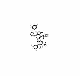 COc1c(C(C)(C)C)cc2c(c1-c1cc(C)cc(C)c1)C=C(C)[CH]2[Zr+2]([C]1=C(C)C=C2C1=CC1=C(CCC1)C2c1cc(C)cc(C)c1)=[Si](C)C.[Cl-].[Cl-]